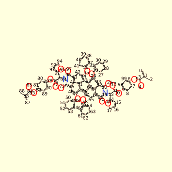 C=C(C)C(=O)Oc1ccc(OC(=O)C(c2ccco2)N2C(=O)c3cc(Oc4ccccc4)c4c5c(Oc6ccccc6)cc6c7c(cc(Oc8ccccc8)c(c8c(Oc9ccccc9)cc(c3c48)C2=O)c75)C(=O)N(C(C(=O)Oc2ccc(OC(=O)C(=C)C)cc2)c2ccco2)C6=O)cc1